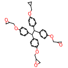 c1cc(C(c2ccc(OCC3CO3)cc2)C(c2ccc(OCC3CO3)cc2)c2ccc(OCC3CO3)cc2)ccc1OCC1CC1